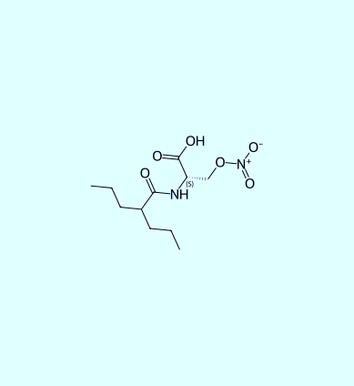 CCCC(CCC)C(=O)N[C@@H](CO[N+](=O)[O-])C(=O)O